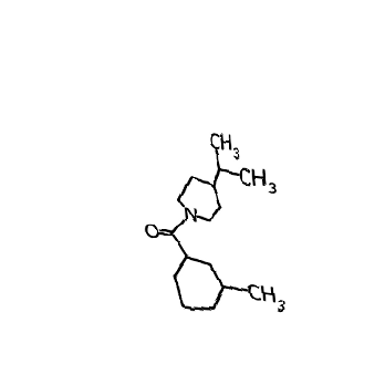 CC1CCCC(C(=O)N2CCC(C(C)C)CC2)C1